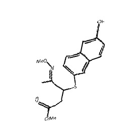 CON=C(C)C(CC(=O)OC)Sc1ccc2cc(O)ccc2c1